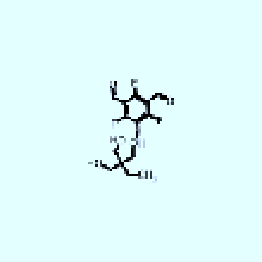 CCC(CO)(CO)CO.O=Cc1c(F)c(F)c(F)c(C=O)c1F